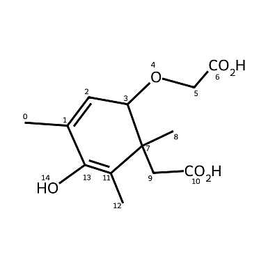 CC1=CC(OCC(=O)O)C(C)(CC(=O)O)C(C)=C1O